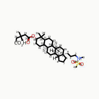 CN(CCC[C@]12CCC[C@@H]1[C@H]1CCC3[C@@]4(C)CC[C@H](OC(=O)CC(C)(C)CC(=O)O)C(C)(C)C4CC[C@@]3(C)[C@]1(C)CC2)S(C)(=O)=O